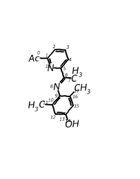 CC(=O)c1cccc(/C(C)=N/c2c(C)cc(O)cc2C)n1